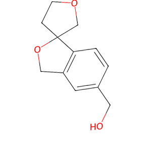 OCc1ccc2c(c1)COC21CCOC1